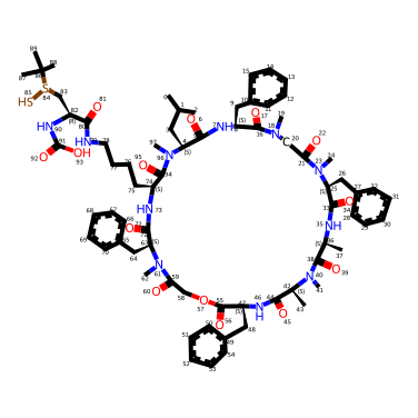 CC(C)C[C@H]1C(=O)N[C@@H](Cc2ccccc2)C(=O)N(C)CC(=O)N(C)[C@@H](Cc2ccccc2)C(=O)N[C@@H](C)C(=O)N(C)[C@@H](C)C(=O)N[C@@H](Cc2ccccc2)C(=O)OCC(=O)N(C)[C@@H](Cc2ccccc2)C(=O)N[C@@H](CCCCNC(=O)[C@H](C[S](S)C(C)(C)C)NC(=O)O)C(=O)N1C